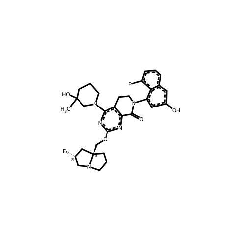 CC1(O)CCCN(c2nc(OC[C@@]34CCCN3C[C@H](F)C4)nc3c2CCN(c2cc(O)cc4cccc(F)c24)C3=O)C1